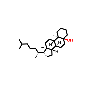 CC(C)CCC[C@@H](C)[C@H]1CC[C@H]2[C@@H]3CCC4(O)CCCC[C@]4(C)[C@H]3CC[C@]12C